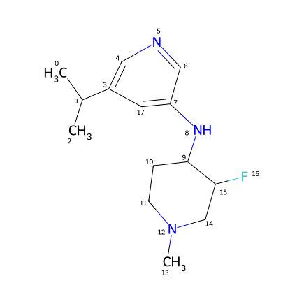 CC(C)c1cncc(NC2CCN(C)CC2F)c1